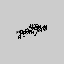 Cc1nc(-n2cnnn2)nc(C)c1CC(=O)N1CCN2C[C@H](c3ccc(F)c(C#N)c3C)OC[C@@H]2C1